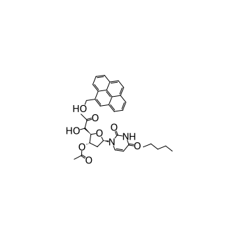 CC(=O)O[C@H]1C[C@H](n2ccc(=O)[nH]c2=O)O[C@@H]1C(O)C(C)=O.CCCCC.OCc1cc2cccc3ccc4cccc1c4c32